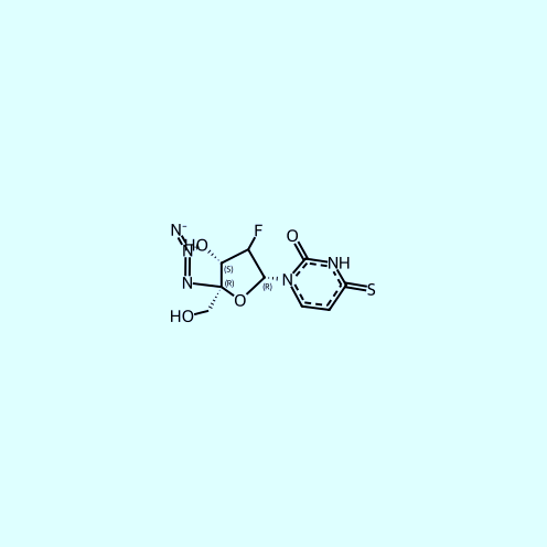 [N-]=[N+]=N[C@]1(CO)O[C@@H](n2ccc(=S)[nH]c2=O)C(F)[C@H]1O